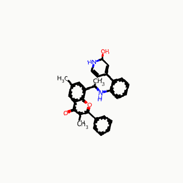 Cc1cc([C@@H](C)Nc2ccccc2C2=CC(O)NC=C2)c2oc(-c3ccccc3)c(C)c(=O)c2c1